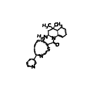 CC1(C)CCN(C(=O)c2scnc(-c3cccnc3)cccc2N)C2=CC=CCC21